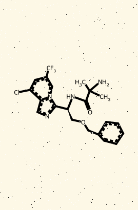 CC(C)(N)C(=O)N[C@@H](COCc1ccccc1)c1ncc2c(Cl)cc(C(F)(F)F)cn12